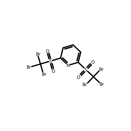 O=S(=O)(c1cccc(S(=O)(=O)C(Br)(Br)Br)n1)C(Br)(Br)Br